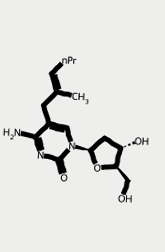 CCC/C=C(\C)Cc1cn([C@H]2C[C@H](O)[C@@H](CO)O2)c(=O)nc1N